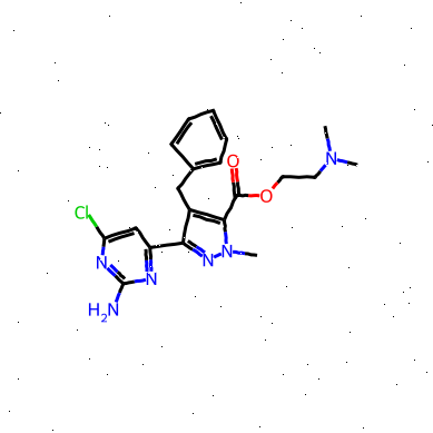 CN(C)CCOC(=O)c1c(Cc2ccccc2)c(-c2cc(Cl)nc(N)n2)nn1C